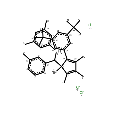 CC1=C(C)[C]([Ti+3])(C([SiH2]c2cc(C)cc(C)c2)c2cccc(C)c2)C(c2cc(C(C)(C)C)cc(C(C)(C)C)c2)=C1C.[Cl-].[Cl-].[Cl-]